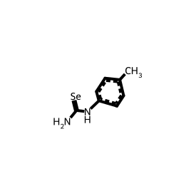 Cc1ccc(NC(N)=[Se])cc1